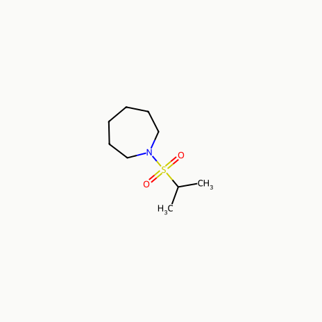 CC(C)S(=O)(=O)N1CCCCCC1